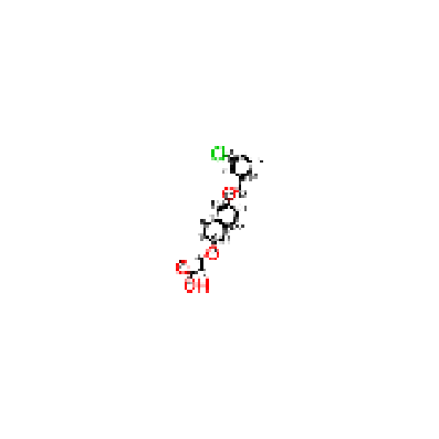 O=C(O)CCOC1CCc2cc(OCc3cccc(Cl)c3)ccc2C1